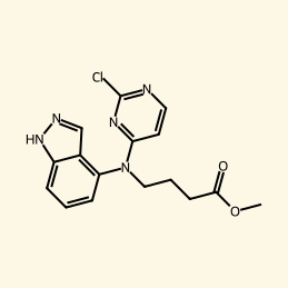 COC(=O)CCCN(c1ccnc(Cl)n1)c1cccc2[nH]ncc12